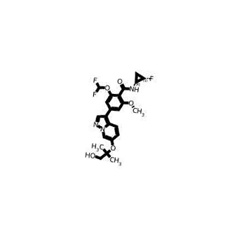 COc1cc(-c2cnn3cc(OC(C)(C)CO)ccc23)cc(OC(F)F)c1C(=O)N[C@@H]1C[C@@H]1F